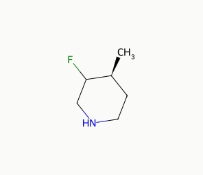 C[C@H]1CCNCC1F